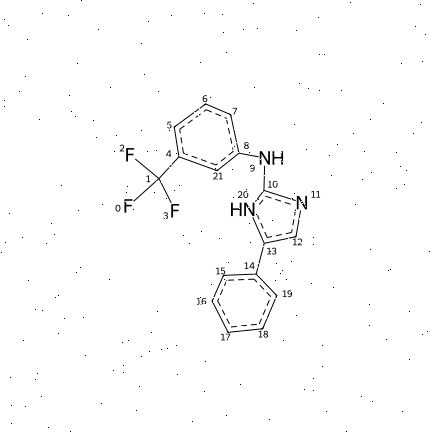 FC(F)(F)c1cccc(Nc2ncc(-c3ccccc3)[nH]2)c1